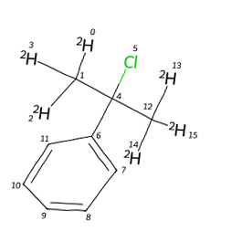 [2H]C([2H])([2H])C(Cl)(c1ccccc1)C([2H])([2H])[2H]